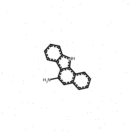 Nc1cc2ccccc2c2[nH]c3ccccc3c12